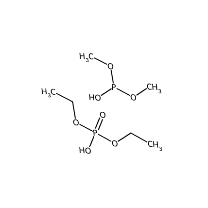 CCOP(=O)(O)OCC.COP(O)OC